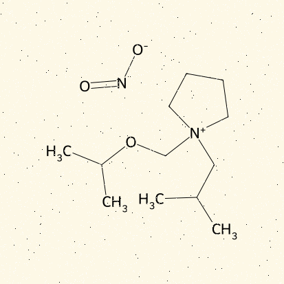 CC(C)C[N+]1(COC(C)C)CCCC1.O=N[O-]